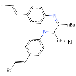 CCC=Cc1ccc(N=C(CCCC)C(CCCC)=Nc2ccc(C=CCC)cc2)cc1.[Ni]